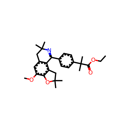 CCOC(=O)C(C)(C)c1ccc(C2=NC(C)(C)Cc3cc(OC)c4c(c32)CC(C)(C)O4)cc1